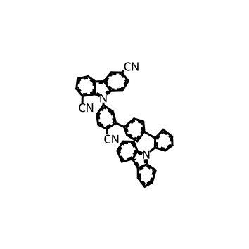 N#Cc1ccc2c(c1)c1cccc(C#N)c1n2-c1ccc(C#N)c(-c2ccc(-c3ccccc3-n3c4ccccc4c4ccccc43)cc2)c1